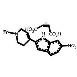 CC(C)N1CC=C(c2cc3ccc([N+](=O)[O-])cc3[nH]2)CC1.O=C(O)/C=C\C(=O)O